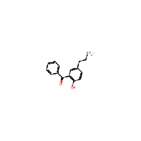 O=C(O)CCc1ccc(O)c(C(=O)c2ccccc2)c1